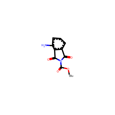 CC(C)(C)OC(=O)N1C(=O)c2cccc(N)c2C1=O